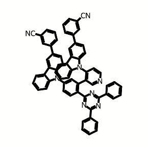 N#Cc1cccc(-c2ccc3c(c2)c2ccccc2n3-c2ccc(-c3nc(-c4ccccc4)nc(-c4ccccc4)n3)c(-c3cnccc3-n3c4ccccc4c4cc(-c5cccc(C#N)c5)ccc43)c2)c1